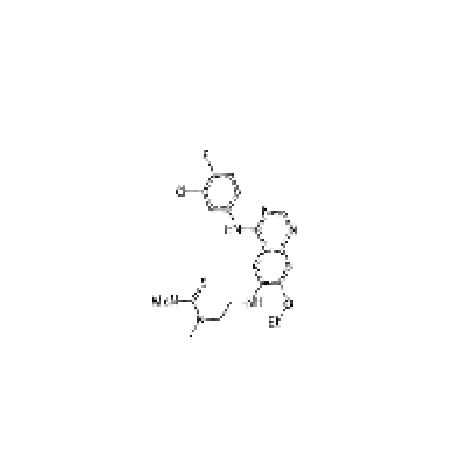 CCOc1cc2ncnc(Nc3ccc(F)c(Cl)c3)c2cc1NCCN(C)C(=S)NC